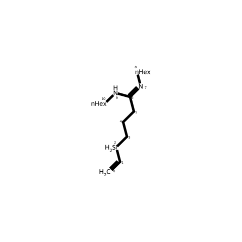 C=C[SiH2]CCCC(=NCCCCCC)NCCCCCC